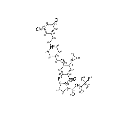 O=C(OC(=O)C(F)(F)F)C1CCCN1C(=O)c1cc(C2CC2)c(OCC2CCN(CCc3cc(Cl)cc(Cl)c3)CC2)cc1F